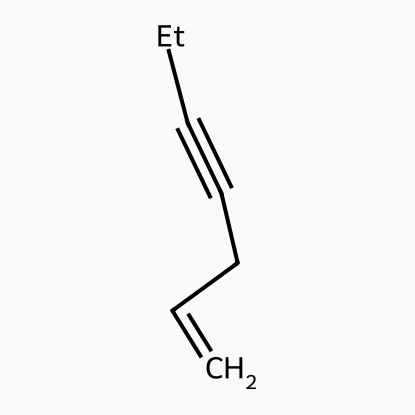 C=CCC#CCC